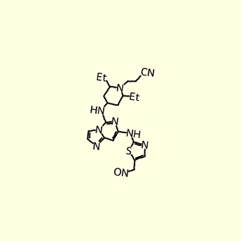 CCC1CC(Nc2nc(Nc3ncc(CN=O)s3)cc3nccn23)CC(CC)N1CCC#N